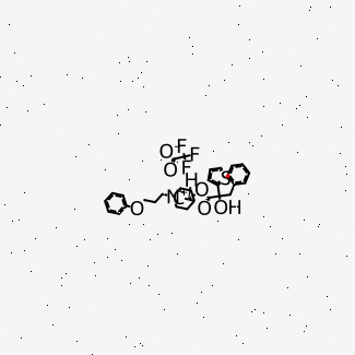 O=C(O[C@H]1C[N+]2(CCCOc3ccccc3)CCC1CC2)C(O)(Cc1ccccc1)c1cccs1.O=C([O-])C(F)(F)F